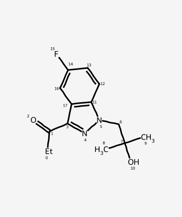 CCC(=O)c1nn(CC(C)(C)O)c2ccc(F)cc12